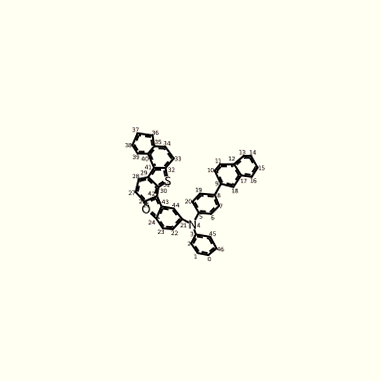 c1ccc(N(c2ccc(-c3ccc4ccccc4c3)cc2)c2ccc3oc4ccc5c(sc6ccc7ccccc7c65)c4c3c2)cc1